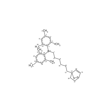 Cc1cc(C)c(B(CCCCCCC23C=CC(CC2)C3)c2c(C)cc(C)cc2C)c(C)c1